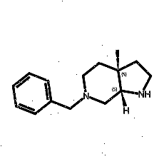 C[C@@]12CCN[C@@H]1CN(Cc1ccccc1)CC2